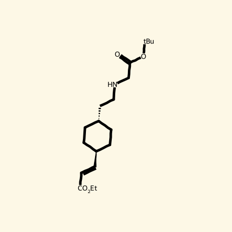 CCOC(=O)C=C[C@H]1CC[C@H](CCNCC(=O)OC(C)(C)C)CC1